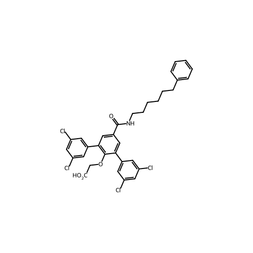 O=C(O)COc1c(-c2cc(Cl)cc(Cl)c2)cc(C(=O)NCCCCCCc2ccccc2)cc1-c1cc(Cl)cc(Cl)c1